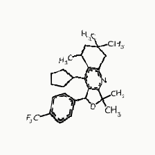 CC1CC(C)(C)Cc2nc3c(c(C4CCCC4)c21)C(c1ccc(C(F)(F)F)cc1)OC3(C)C